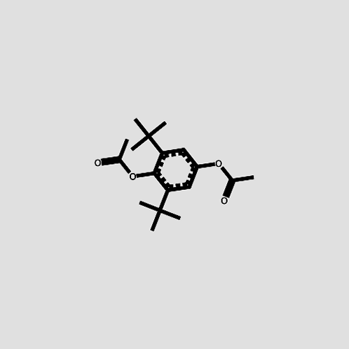 CC(=O)Oc1cc(C(C)(C)C)c(OC(C)=O)c(C(C)(C)C)c1